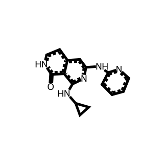 O=c1[nH]ccc2cc(Nc3ccccn3)nc(NC3CC3)c12